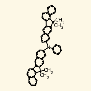 CC1(C)c2cc3cc(N(c4ccccc4)c4ccc5cc6c(cc5c4)C(C)(C)c4c-6ccc5ccccc45)ccc3cc2-c2ccc3ccccc3c21